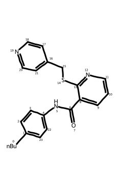 CCCCc1ccc(NC(=O)c2cccnc2SCc2ccncc2)cc1